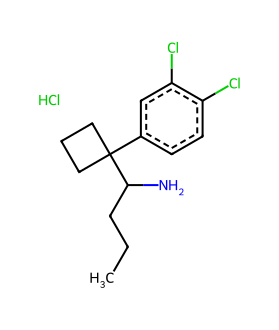 CCCC(N)C1(c2ccc(Cl)c(Cl)c2)CCC1.Cl